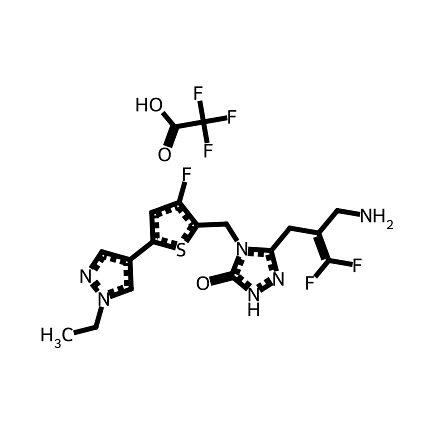 CCn1cc(-c2cc(F)c(Cn3c(CC(CN)=C(F)F)n[nH]c3=O)s2)cn1.O=C(O)C(F)(F)F